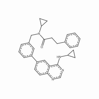 O=C(CCc1ccccc1)N(Cc1cccc(-c2ccc3ncnc(NC4CC4)c3c2)c1)C1CC1